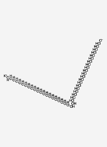 Cl.Cl.Cl.Cl.Cl.Cl.Cl.Cl.Cl.Cl.Cl.Cl.Cl.Cl.Cl.Cl.Cl.Cl.Cl.Cl.Cl.Cl.Cl.Cl.Cl.Cl.Cl.Cl.Cl.Cl.Cl.Cl.Cl.Cl.Cl.Cl.Cl.Cl.Cl.Cl.Cl.Cl.Cl.[Cl-].[K+]